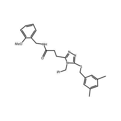 COc1ccccc1CNC(=O)CCc1nnc(SCc2cc(C)cc(C)c2)n1CC(C)C